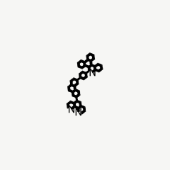 c1cnc2c(c1)cc(-c1ccc3c(ccc4ccc(-c5ccc(-c6nc7ccccc7c7c8ccccc8c8ccccc8c67)cc5)cc43)c1)c1cccnc12